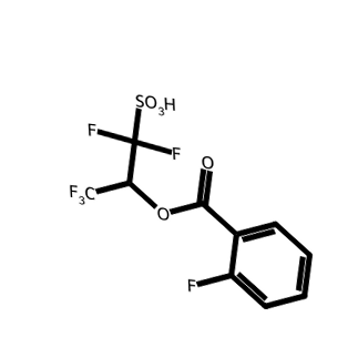 O=C(OC(C(F)(F)F)C(F)(F)S(=O)(=O)O)c1ccccc1F